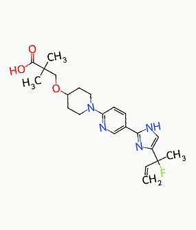 C=CC(C)(F)c1c[nH]c(-c2ccc(N3CCC(OCC(C)(C)C(=O)O)CC3)nc2)n1